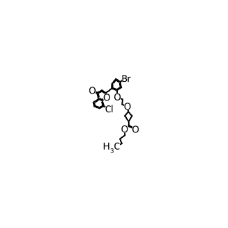 CCCCOC(=O)C1CC(OCCOc2cc(Br)ccc2-c2cc(=O)c3cccc(Cl)c3o2)C1